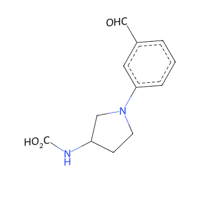 O=Cc1cccc(N2CCC(NC(=O)O)C2)c1